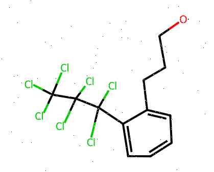 [O]CCCc1ccccc1C(Cl)(Cl)C(Cl)(Cl)C(Cl)(Cl)Cl